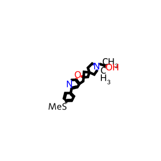 CSc1ccc(-c2cc3c(cn2)OC2(C3)CC3(CCN(CC(C)(C)O)CC3)C2)cc1